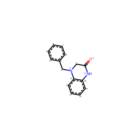 O=C1CN(Cc2ccccc2)c2ccccc2N1